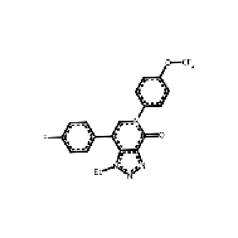 CCn1nnc2c(=O)n(-c3ccc(OC(F)(F)F)cc3)cc(-c3ccc(F)cc3)c21